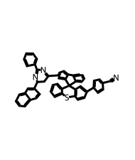 N#Cc1ccc(-c2ccc3c(c2)C2(c4ccccc4S3)c3ccccc3-c3ccc(C4=NC(c5ccccc5)=NC(c5ccc6ccccc6c5)C4)cc32)cc1